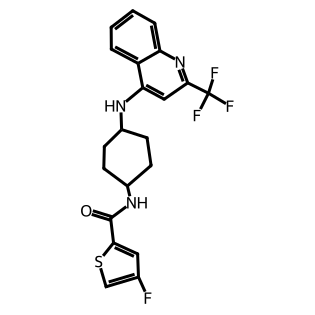 O=C(NC1CCC(Nc2cc(C(F)(F)F)nc3ccccc23)CC1)c1cc(F)cs1